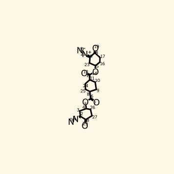 [N-]=[N+]=C1CC(OC(=O)C2CCC(C(=O)OC3CCC(=O)C(=[N+]=[N-])C3)CC2)CCC1=O